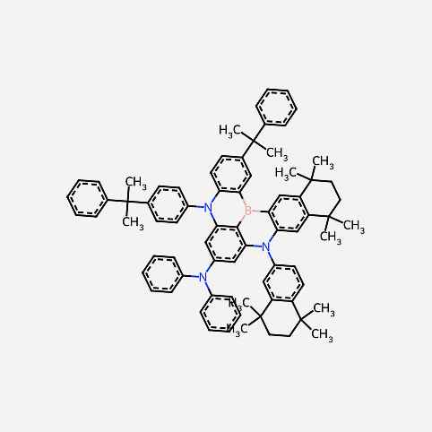 CC1(C)CCC(C)(C)c2cc(N3c4cc5c(cc4B4c6cc(C(C)(C)c7ccccc7)ccc6N(c6ccc(C(C)(C)c7ccccc7)cc6)c6cc(N(c7ccccc7)c7ccccc7)cc3c64)C(C)(C)CCC5(C)C)ccc21